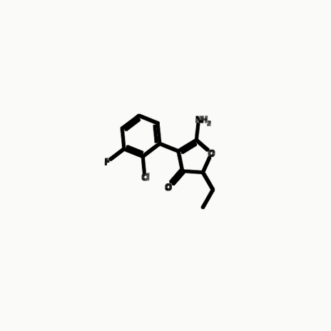 CCC1OC(N)=C(c2cccc(F)c2Cl)C1=O